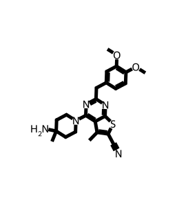 COc1ccc(Cc2nc(N3CCC(C)(N)CC3)c3c(C)c(C#N)sc3n2)cc1OC